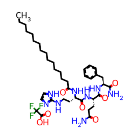 CCCCCCCCCCCCCCCC(=O)N[C@@H](CCNc1ncc[nH]1)C(=O)N[C@@H](CCC(N)=O)C(=O)N[C@@H](Cc1ccccc1)C(N)=O.O=C(O)C(F)(F)F